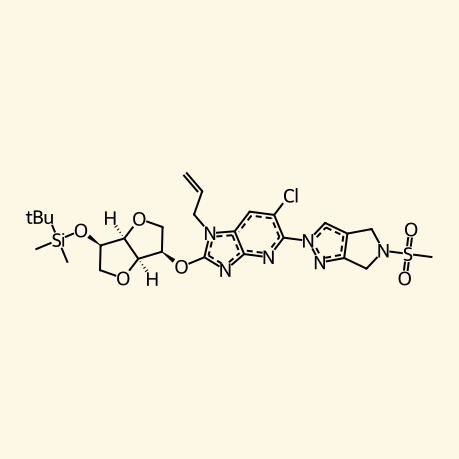 C=CCn1c(O[C@@H]2CO[C@H]3[C@@H]2OC[C@H]3O[Si](C)(C)C(C)(C)C)nc2nc(-n3cc4c(n3)CN(S(C)(=O)=O)C4)c(Cl)cc21